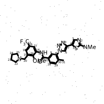 CNc1ncc(-c2cn(-c3cc(C(=O)Nc4cc(C(F)(F)F)cc(CN5CCCC5)c4OC)ccc3C)nn2)s1